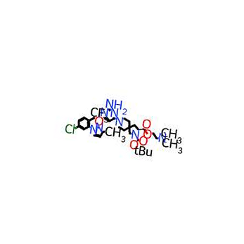 Cc1ccn(-c2cc(Cl)ccc2[C@@H](Oc2cc(N3CCC4(CC3)C[C@@H](C(=O)OCCN(C)C)N(C(=O)OC(C)(C)C)C4)nc(N)n2)C(F)(F)F)n1